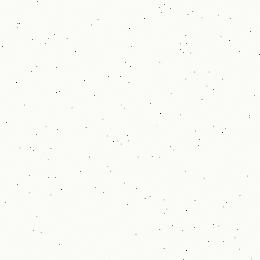 Cc1cccc2c1NC(=O)C(N(Cc1ccccc1)C(=O)O)N=C2c1cccc(F)c1